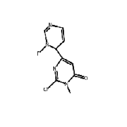 Cn1c(Cl)nc(C2C=CN=CN2F)cc1=O